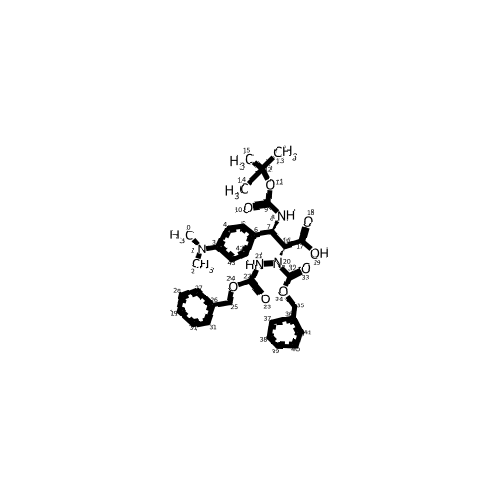 CN(C)c1ccc([C@@H](NC(=O)OC(C)(C)C)[C@H](C(=O)O)N(NC(=O)OCc2ccccc2)C(=O)OCc2ccccc2)cc1